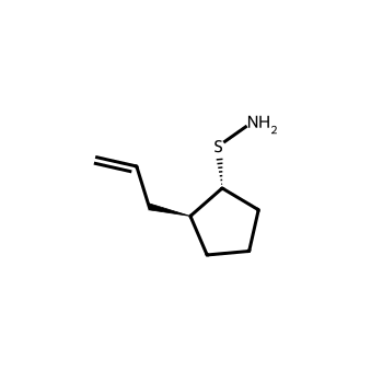 C=CC[C@@H]1CCC[C@H]1SN